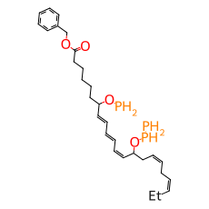 CC/C=C\C/C=C\CC(\C=C/C=C/C=C/C(CCCCCC(=O)OCc1ccccc1)OP)OPP